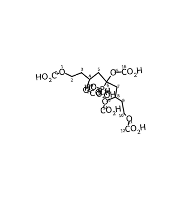 O=C(O)OCCC(CC(CC(CCOC(=O)O)OC(=O)O)(OC(=O)O)P(=O)(O)O)OC(=O)O